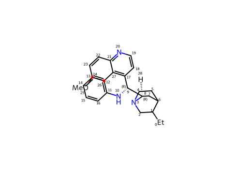 CCC1CN2CCC1C[C@@H]2[C@H](Nc1ccccc1)c1ccnc2ccc(OC)cc12